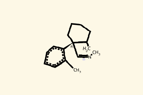 C/N=C\[C@]1(c2ccccc2C)CCCCC1C